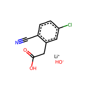 N#Cc1ccc(Cl)cc1CC(=O)O.[Li+].[OH-]